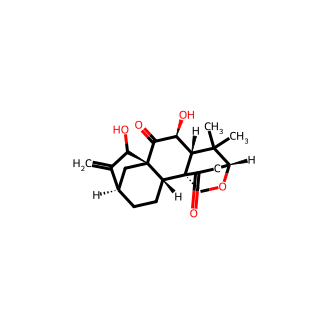 C=C1C(O)[C@]23C[C@H]1CC[C@H]2[C@]12CO[C@H](CC1=O)C(C)(C)[C@H]2[C@H](O)C3=O